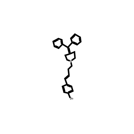 CC(C)c1ccc(C=CCCN2CCC(=C(c3ccccc3)c3ccccc3)CC2)cc1